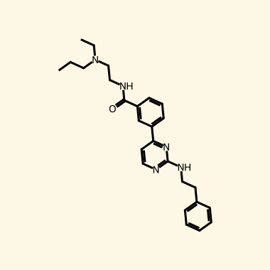 CCCN(CC)CCNC(=O)c1cccc(-c2ccnc(NCCc3ccccc3)n2)c1